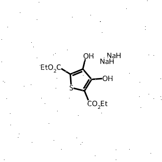 CCOC(=O)c1sc(C(=O)OCC)c(O)c1O.[NaH].[NaH]